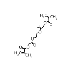 C=C(C)C(=O)OCC(=O)OCCOC(=O)COC(=O)C(=C)C